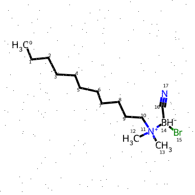 CCCCCCCCCCC[N+](C)(C)[BH-](Br)C#N